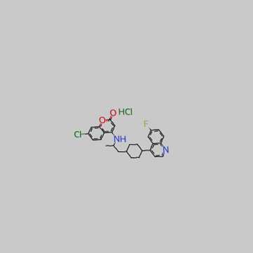 CC(CC1CCC(c2ccnc3ccc(F)cc23)CC1)Nc1cc(=O)oc2cc(Cl)ccc12.Cl